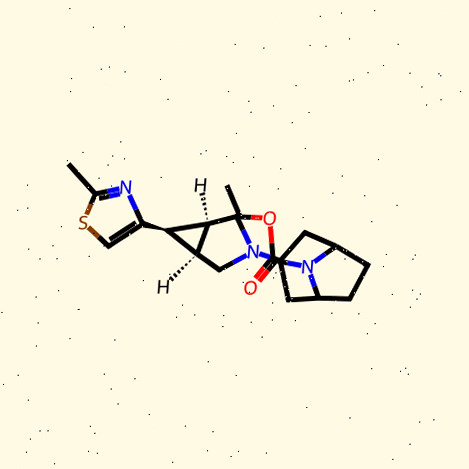 CCOC(=O)N1C2CCC1CC(N1C[C@@H]3[C@H](C1)[C@@H]3c1csc(C)n1)C2